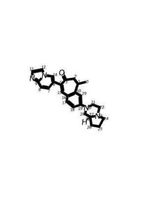 CC1CC(=O)C(c2ccc3nccn3c2)=Cc2ccc(N3CCN4CCC[C@H]4C3)cc21